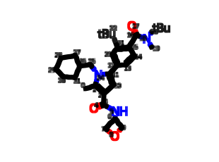 Cc1c(C(=O)NC2COC2)cc(-c2ccc(C(=O)N(C)C(C)(C)C)c(C(C)(C)C)c2)n1CC1CCCCC1